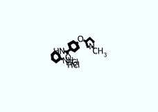 CN1CCC(Oc2ccc(C(=O)Nc3ccccc3N)cc2)C1.Cl.Cl